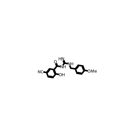 COc1ccc(CNC(=N)NC(=O)c2cc(C#N)ccc2O)cc1